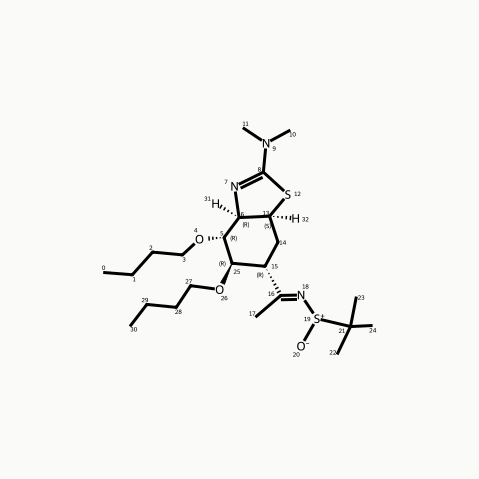 CCCCO[C@@H]1[C@H]2N=C(N(C)C)S[C@H]2C[C@H](C(C)=N[S+]([O-])C(C)(C)C)[C@H]1OCCCC